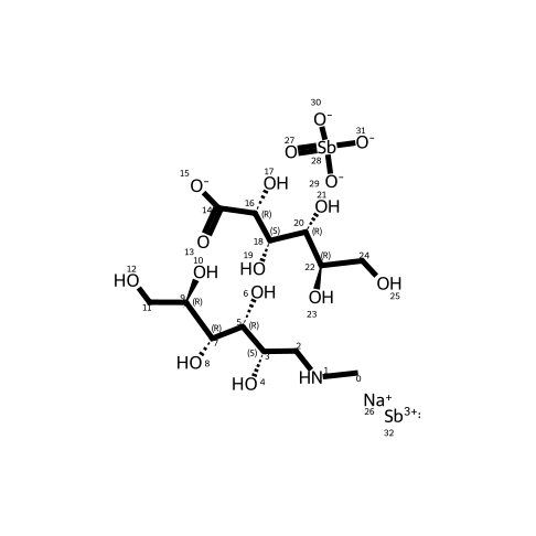 CNC[C@H](O)[C@@H](O)[C@H](O)[C@H](O)CO.O=C([O-])[C@H](O)[C@@H](O)[C@H](O)[C@H](O)CO.[Na+].[O]=[Sb]([O-])([O-])[O-].[Sb+3]